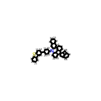 c1ccc2c(c1)-c1c(N(c3ccc(-c4ccc5sc6ccccc6c5c4)cc3)c3ccc4ccccc4c3)cccc1C21C2CC3CC4CC1C4(C3)C2